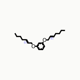 CCCC/C=C/COc1cccc(OC/C=C/CCCC)c1